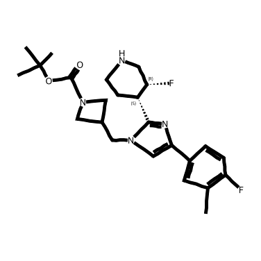 Cc1cc(-c2cn(CC3CN(C(=O)OC(C)(C)C)C3)c([C@@H]3CCNC[C@@H]3F)n2)ccc1F